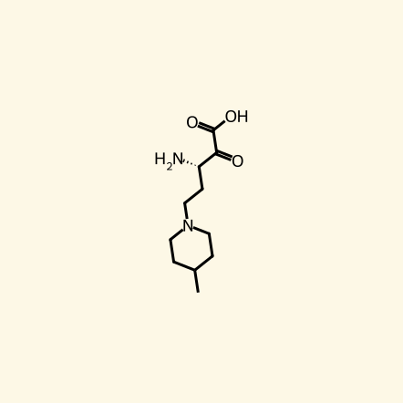 CC1CCN(CC[C@H](N)C(=O)C(=O)O)CC1